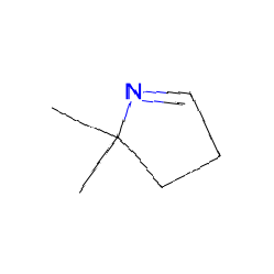 CC1(C)CCC=N1